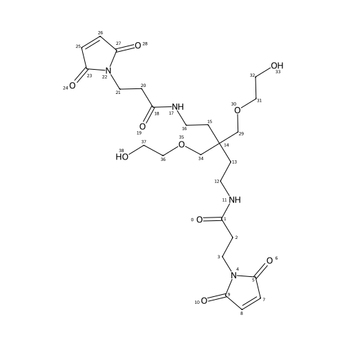 O=C(CCN1C(=O)C=CC1=O)NCCC(CCNC(=O)CCN1C(=O)C=CC1=O)(COCCO)COCCO